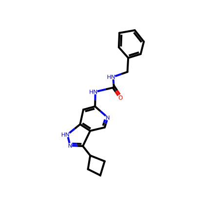 O=C(NCc1ccccc1)Nc1cc2[nH]nc(C3CCC3)c2cn1